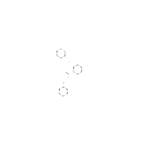 O=C(OCc1ccccc1)c1cc(F)c(Br)cc1OCc1ccccc1